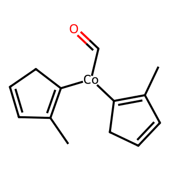 CC1=[C]([Co]([CH]=O)[C]2=C(C)C=CC2)CC=C1